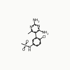 Cc1nc(N)nc(N)c1-c1cc(NS(C)(=O)=O)ccc1Cl